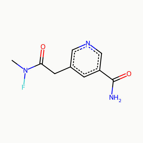 CN(F)C(=O)Cc1cncc(C(N)=O)c1